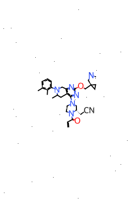 C=CC(=O)N1CCN(c2nc(OCC3(CN(C)C)CC3)nc3c2CC(C)N(c2cccc(C)c2C)C3)C[C@@H]1CC#N